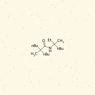 CCCCC(C)(CC)NC(=O)C(C)(CCCC)CCCC